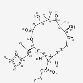 CCOC(=O)N1[C@@H]2CCC[C@H](C)[C@H](O)[C@@H](C)C(=O)C(C)(C)[C@@H](O)CC(=O)O[C@H](C(C)=Cc3csc(C)n3)C[C@@H]21